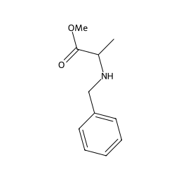 COC(=O)C(C)NCc1ccccc1